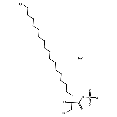 CCCCCCCCCCCCCCCCCCC(O)(CO)C(=O)OS(=O)(=O)[O-].[Na+]